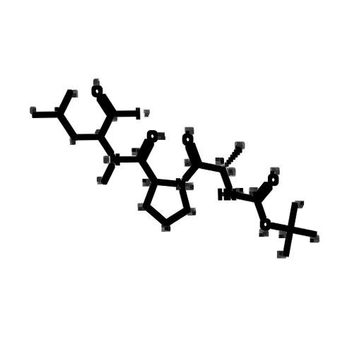 CC(C)CC(C(=O)I)N(C)C(=O)C1CCCN1C(=O)[C@H](C)NC(=O)OC(C)(C)C